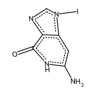 Nc1cc2c(ncn2I)c(=O)[nH]1